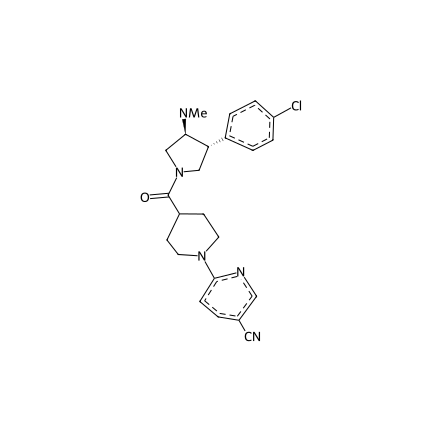 CN[C@@H]1CN(C(=O)C2CCN(c3ccc(C#N)cn3)CC2)C[C@H]1c1ccc(Cl)cc1